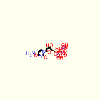 NOc1ccn([C@H]2C[C@@H](O)[C@@H](COP(=O)(O)OP(=O)(O)OP(=O)(O)O)O2)c(=O)n1